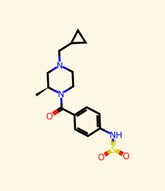 C[C@H]1CN(CC2CC2)CCN1C(=O)c1ccc(N[SH](=O)=O)cc1